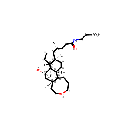 C[C@H](CCC(=O)NCCS(=O)(=O)O)[C@H]1CC[C@H]2[C@@H]3[C@@H](O)C[C@@H]4CCOCCC[C@]4(C)[C@H]3CC[C@]12C